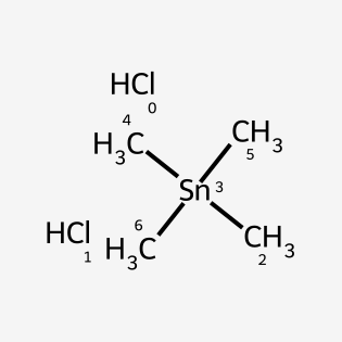 Cl.Cl.[CH3][Sn]([CH3])([CH3])[CH3]